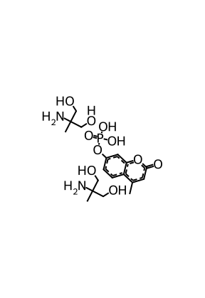 CC(N)(CO)CO.CC(N)(CO)CO.Cc1cc(=O)oc2cc(OP(=O)(O)O)ccc12